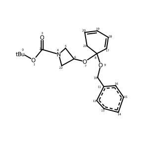 CC(C)(C)OC(=O)N1CC(OC2(OCc3ccccc3)C=CC=CC2)C1